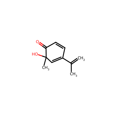 C=C(C)C1=CC(C)(O)C(=O)C=C1